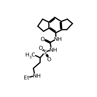 CCNCCC(C)S(=O)(=O)NC(=O)Nc1c2c(cc3c1CCC3)CCC2